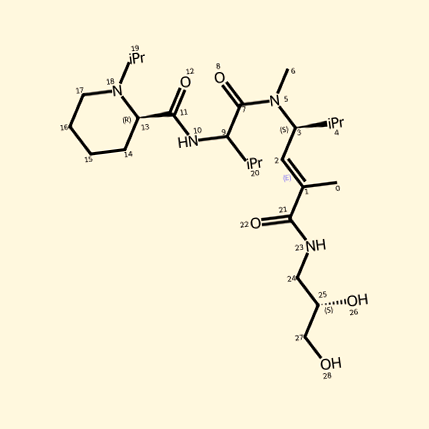 C/C(=C\[C@H](C(C)C)N(C)C(=O)C(NC(=O)[C@H]1CCCCN1C(C)C)C(C)C)C(=O)NC[C@H](O)CO